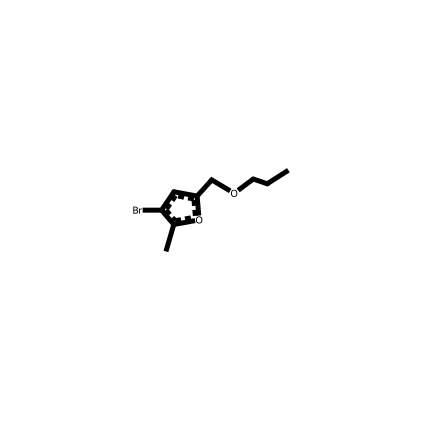 CCCOCc1cc(Br)c(C)o1